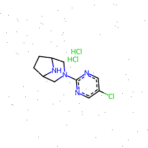 Cl.Cl.Clc1cnc(N2CC3CCC(C2)N3)nc1